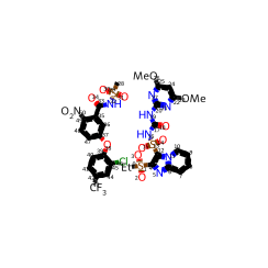 CCS(=O)(=O)c1nc2ccccn2c1S(=O)(=O)NC(=O)Nc1nc(OC)cc(OC)n1.CS(=O)(=O)NC(=O)c1cc(Oc2ccc(C(F)(F)F)cc2Cl)ccc1[N+](=O)[O-]